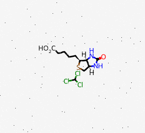 ClC(Cl)Cl.O=C(O)CCCC[C@@H]1SC[C@@H]2NC(=O)N[C@@H]21